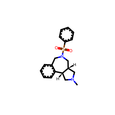 CN1C[C@H]2CN(S(=O)(=O)c3ccccc3)Cc3ccccc3[C@H]2C1